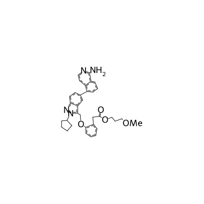 COCCCOC(=O)Cc1ccccc1OCc1c2cc(-c3cccc4c(N)nccc34)ccc2nn1C1CCCC1